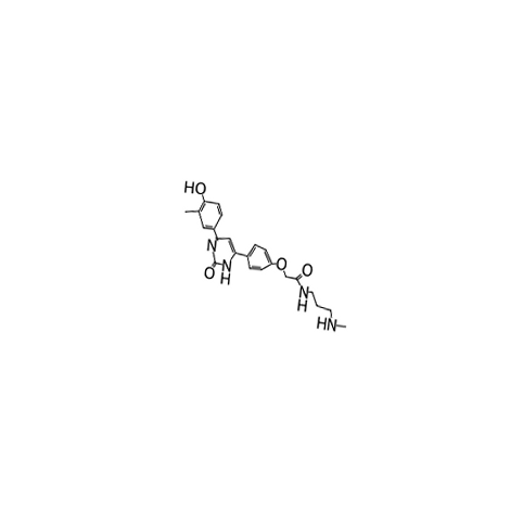 CNCCCNC(=O)COc1ccc(-c2cc(-c3ccc(O)c(C)c3)nc(=O)[nH]2)cc1